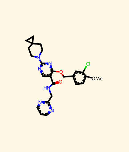 COc1ccc(COc2nc(N3CCC4(CC3)CC4)ncc2C(=O)NCc2ncccn2)cc1Cl